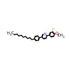 CCCCCCCCCCc1ccc(-c2ccc(-c3ccc(OC)c(F)c3)nc2)cc1